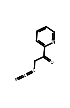 O=C(CN=C=S)c1ccccn1